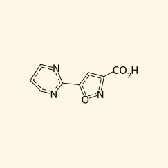 O=C(O)c1cc(-c2ncccn2)on1